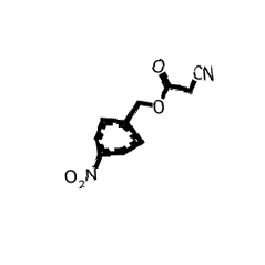 N#CCC(=O)OCc1ccc([N+](=O)[O-])cc1